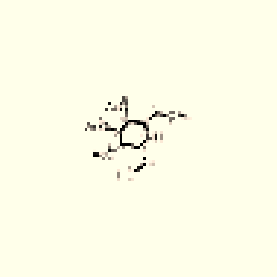 CC(=O)OC[C@H]1N[C@H](CO)[C@H](OC(C)=O)[C@@H](OC(C)=O)[C@@H]1OC(C)=O